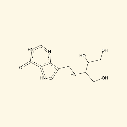 O=c1[nH]cnc2c(CNC(CO)C(O)CO)c[nH]c12